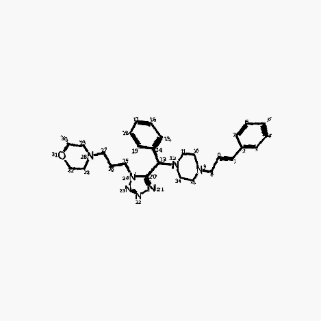 C(=C\c1ccccc1)/CN1CCN(C(c2ccccc2)c2nnnn2CCCN2CCOCC2)CC1